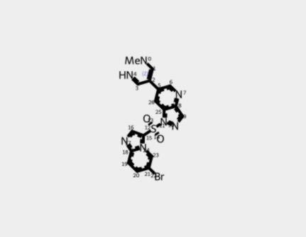 CN/C=C(\C=N)c1cnc2cnn(S(=O)(=O)c3cnc4ccc(Br)cn34)c2c1